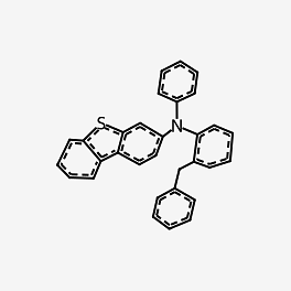 c1ccc(Cc2ccccc2N(c2ccccc2)c2ccc3c(c2)sc2ccccc23)cc1